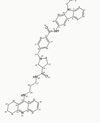 CCn1c2ccccc2c2cc(NC(=O)c3ccc(CN4CCC(C(=O)NCCCNc5c6c(nc7ccccc57)CCCC6)C4)cc3)ccc21